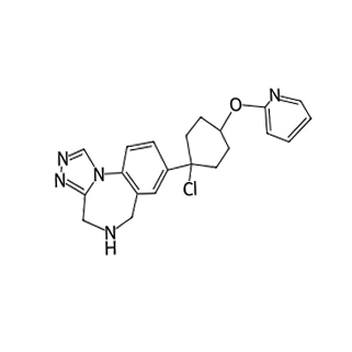 ClC1(c2ccc3c(c2)CNCc2nncn2-3)CCC(Oc2ccccn2)CC1